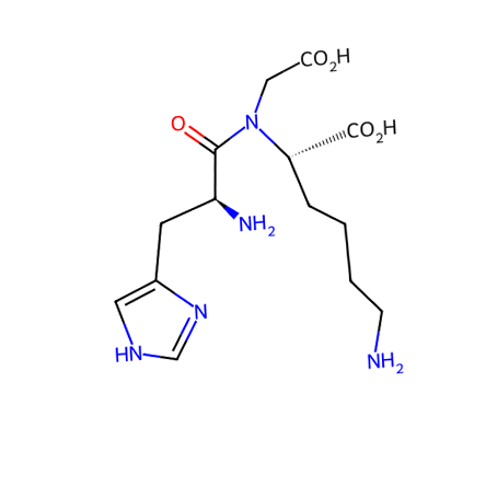 NCCCC[C@@H](C(=O)O)N(CC(=O)O)C(=O)[C@@H](N)Cc1c[nH]cn1